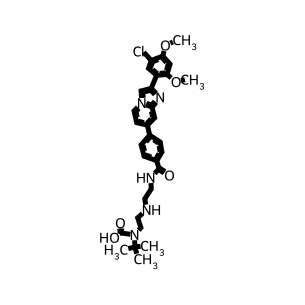 COc1cc(OC)c(-c2cn3ccc(-c4ccc(C(=O)NCCNCCN(C(=O)O)C(C)(C)C)cc4)cc3n2)cc1Cl